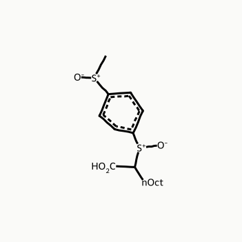 CCCCCCCCC(C(=O)O)[S+]([O-])c1ccc([S+](C)[O-])cc1